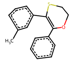 Cc1cccc(C2=C(c3ccccc3)OCCS2)c1